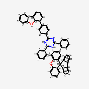 c1ccc(-c2nc(-c3ccc(-c4cccc5c4oc4ccccc45)cc3)nc(-c3ccccc3-c3cccc4c3Oc3ccccc3C43c4ccccc4-c4ccccc43)n2)cc1